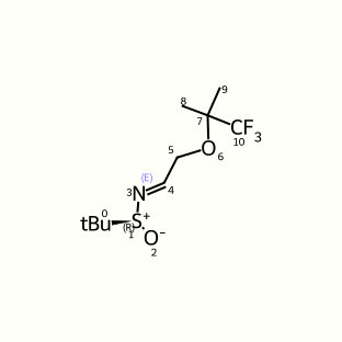 CC(C)(C)[S@+]([O-])/N=C/COC(C)(C)C(F)(F)F